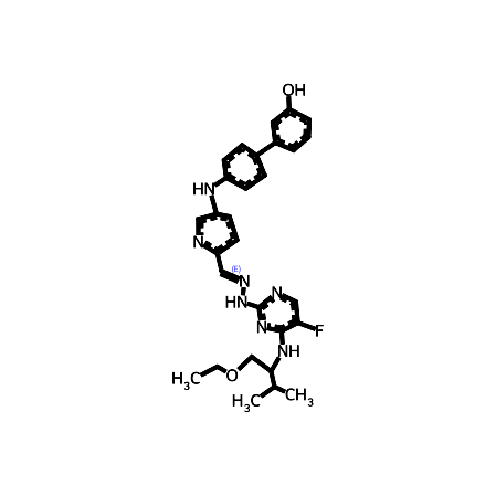 CCOCC(Nc1nc(N/N=C/c2ccc(Nc3ccc(-c4cccc(O)c4)cc3)cn2)ncc1F)C(C)C